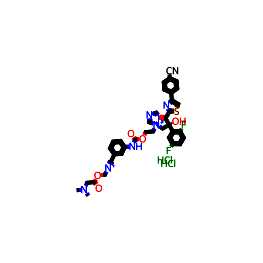 C[C@@H](c1nc(-c2ccc(C#N)cc2)cs1)[C@](O)(C[N+]1(CCOC(=O)Nc2cccc(C#[N+]COC(=O)CN(C)C)c2)C=NC=N1)c1cc(F)ccc1F.Cl.Cl